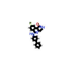 O=c1[nH]ccc2nc(Nc3ccc(-c4ccccc4)cc3)c3ccc(F)cc3c12